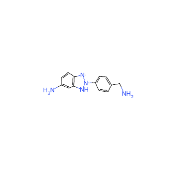 NCc1ccc(N2[N]c3ccc(N)cc3N2)cc1